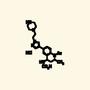 CC(=O)N1c2ccc(-c3cnn(CCN4CCNCC4)c3)cc2C(NC(=O)O)CC1C.Cl